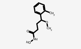 COC(CCC(=O)NO)c1ccccc1C